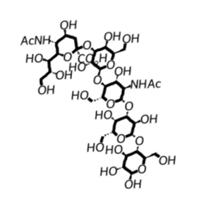 CC(=O)N[C@H]1[C@H](O[C@H]2[C@@H](O)[C@@H](CO)O[C@@H](O[C@H]3[C@H](O)[C@@H](O)[C@H](O)O[C@@H]3CO)[C@@H]2O)O[C@H](CO)[C@@H](O[C@@H]2O[C@H](CO)[C@H](O)[C@H](O[C@]3(C(=O)O)C[C@H](O)[C@@H](NC(C)=O)[C@H]([C@H](O)[C@H](O)CO)O3)[C@H]2O)[C@@H]1O